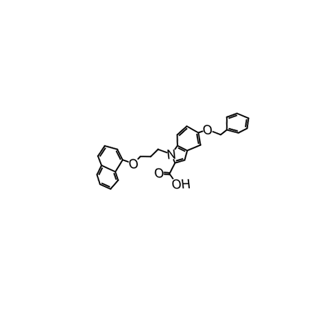 O=C(O)c1cc2cc(OCc3ccccc3)ccc2n1CCCOc1cccc2ccccc12